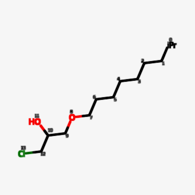 CC(C)CCCCCCCOCC(O)CCl